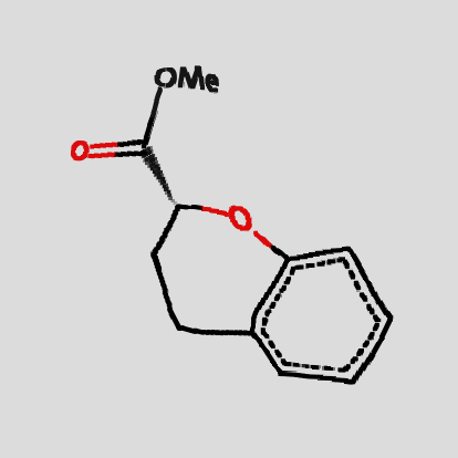 COC(=O)[C@H]1CCc2ccccc2O1